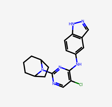 Clc1cnc(N2C3CCCC2CC3)nc1Nc1ccc2[nH]ncc2c1